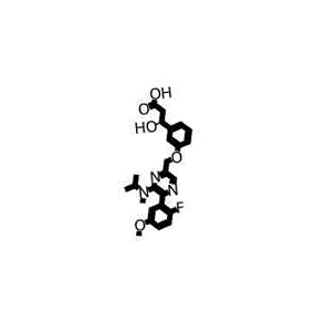 COc1ccc(F)c(-c2ncc(COc3cccc([C@H](O)CC(=O)O)c3)nc2N(C)C(C)C)c1